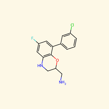 NCC1CNc2cc(F)cc(-c3cccc(Cl)c3)c2O1